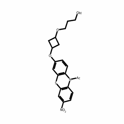 CC(=O)N1c2ccc(OC3CC(OCCCO)C3)cc2Sc2cc([N+](=O)[O-])ccc21